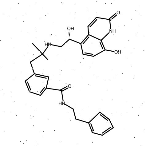 CC(C)(Cc1cccc(C(=O)NCCc2ccccc2)c1)NC[C@H](O)c1ccc(O)c2[nH]c(=O)ccc12